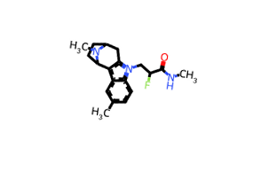 CNC(=O)C(F)Cn1c2c(c3cc(C)ccc31)C1CCC(C2)N1C